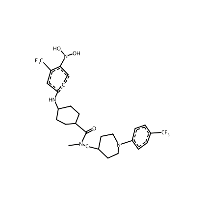 CN(CC1CCN(c2ccc(C(F)(F)F)cc2)CC1)C(=O)C1CCC(Nc2ccc(N(O)O)c(C(F)(F)F)c2)CC1